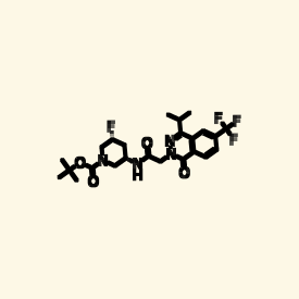 CC(C)c1nn(CC(=O)N[C@@H]2C[C@@H](F)CN(C(=O)OC(C)(C)C)C2)c(=O)c2ccc(C(F)(F)F)cc12